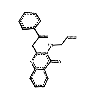 C=CCNn1c(CC(=C)c2ccccc2)nc2ccccc2c1=O